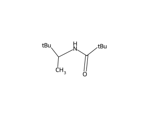 CC(NC(=O)C(C)(C)C)C(C)(C)C